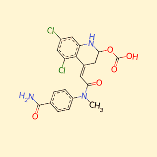 CN(C(=O)/C=C1\CC(OC(=O)O)Nc2cc(Cl)cc(Cl)c21)c1ccc(C(N)=O)cc1